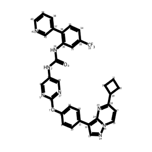 O=C(Nc1cnc(Oc2ccc(-c3cnn4ccc(C5CCC5)nc34)cc2)nc1)Nc1cc(C(F)(F)F)ccc1-c1cccnc1